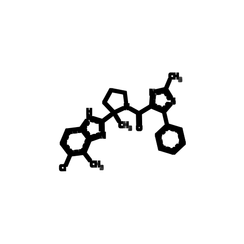 Cc1nc(C(=O)N2CCCC2(C)c2nc3c(C)c(Cl)ccc3[nH]2)c(-c2ccccc2)s1